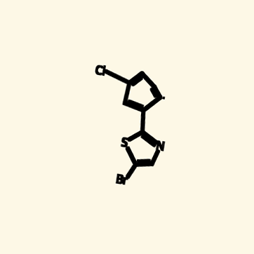 Clc1cc[c]c(-c2ncc(Br)s2)c1